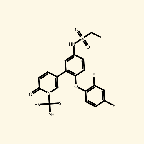 CCS(=O)(=O)Nc1ccc(Oc2ccc(F)cc2F)c(-c2ccc(=O)n(C(S)(S)S)c2)c1